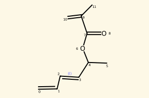 C=C/C=C/C(C)OC(=O)C(=C)C